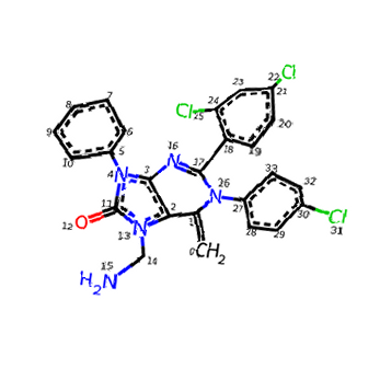 C=C1c2c(n(-c3ccccc3)c(=O)n2CN)N=C(c2ccc(Cl)cc2Cl)N1c1ccc(Cl)cc1